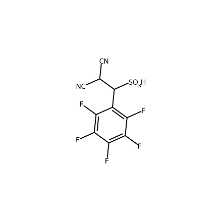 N#CC(C#N)C(c1c(F)c(F)c(F)c(F)c1F)S(=O)(=O)O